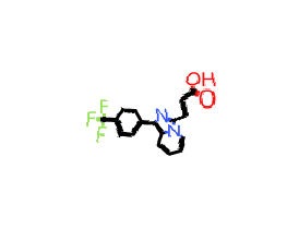 O=C(O)/C=C/c1nc(-c2ccc(C(F)(F)F)cc2)c2ccccn12